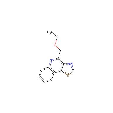 CCOCc1nc2ccccc2c2scnc12